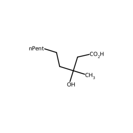 CCCCCCCC(C)(O)CC(=O)O